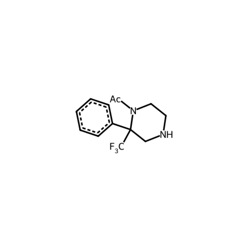 CC(=O)N1CCNCC1(c1ccccc1)C(F)(F)F